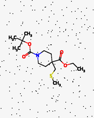 CCOC(=O)C1(CSC)CCN(C(=O)OC(C)(C)C)CC1